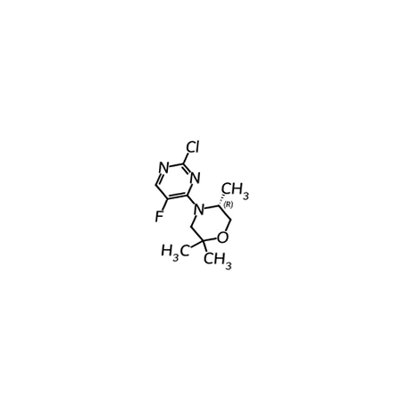 C[C@@H]1COC(C)(C)CN1c1nc(Cl)ncc1F